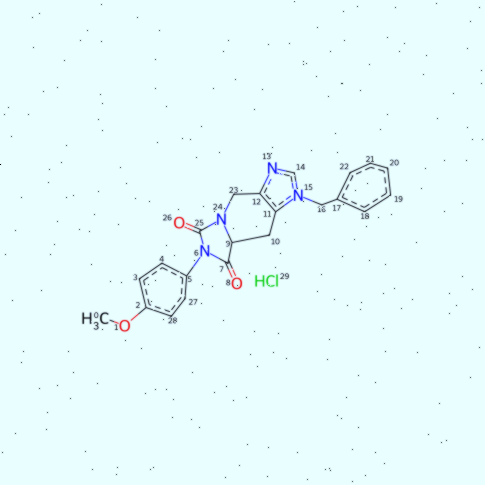 COc1ccc(N2C(=O)C3Cc4c(ncn4Cc4ccccc4)CN3C2=O)cc1.Cl